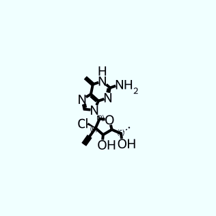 C#C[C@@]1(Cl)C(O)C([C@H](C)O)O[C@H]1n1cnc2c1N=C(N)NC2=C